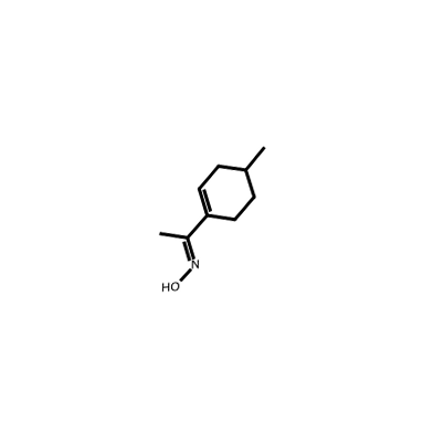 CC(=NO)C1=CCC(C)CC1